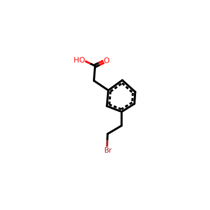 O=C(O)Cc1cccc(CCBr)c1